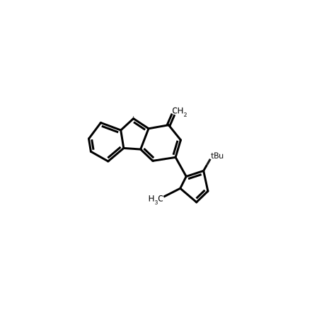 C=c1cc(C2=C(C(C)(C)C)C=CC2C)cc2c1=[C]c1ccccc1-2